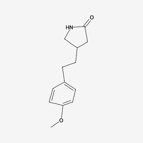 COc1ccc(CCC2CNC(=O)C2)cc1